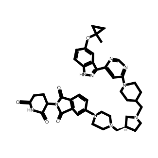 CC1(Oc2ccc3[nH]nc(-c4cc(N5CCC(CN6CC[C@@H](CN7CCN(c8ccc9c(c8)C(=O)N(C8CCC(=O)NC8=O)C9=O)CC7)C6)CC5)ncn4)c3c2)CC1